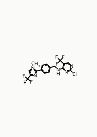 Cn1cc(C(F)(F)F)nc1-c1ccc(CNc2nc(Cl)ncc2C(F)(F)F)cc1